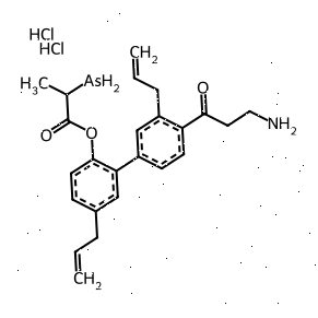 C=CCc1ccc(OC(=O)C(C)[AsH2])c(-c2ccc(C(=O)CCN)c(CC=C)c2)c1.Cl.Cl